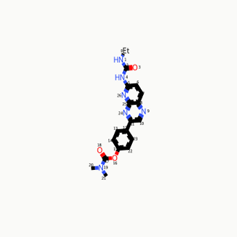 CCNC(=O)Nc1ccc2ncc(-c3ccc(OC(=O)N(C)C)cc3)nc2n1